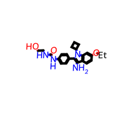 CCOc1ccc2c(N)c(-c3ccc(NC(=O)NCCO)cc3)n(C3CCC3)c2c1